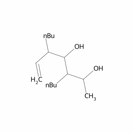 C=CC(CCCC)C(O)C(CCCC)C(C)O